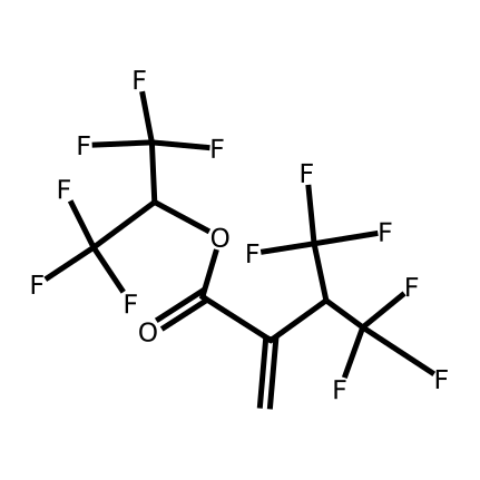 C=C(C(=O)OC(C(F)(F)F)C(F)(F)F)C(C(F)(F)F)C(F)(F)F